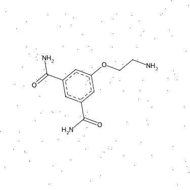 NCCOc1cc(C(N)=O)cc(C(N)=O)c1